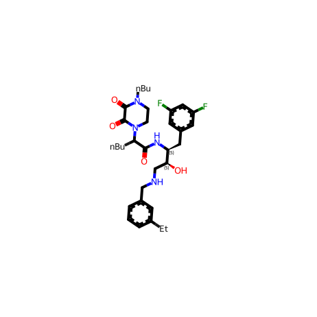 CCCCC(C(=O)N[C@@H](Cc1cc(F)cc(F)c1)[C@@H](O)CNCc1cccc(CC)c1)N1CCN(CCCC)C(=O)C1=O